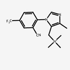 Cc1ncn(-c2ccc(C(F)(F)F)cc2C#N)c1C[N+](C)(C)C